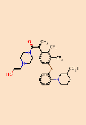 C=C(C(=O)N1CCN(CCO)CC1)c1ccc(Sc2ccccc2N2CCCC(C(=O)O)C2)c(C(F)(F)F)c1C(F)(F)F